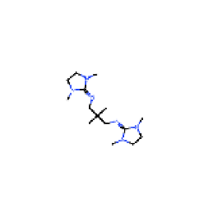 CN1CCN(C)C1=NCC(C)(C)CN=C1N(C)CCN1C